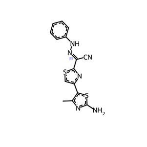 Cc1nc(N)sc1-c1csc(/C(C#N)=N/Nc2ccccc2)n1